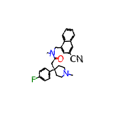 CN1CCC(CC(=O)N(C)Cc2cc(C#N)cc3ccccc23)(c2ccc(F)cc2)CC1